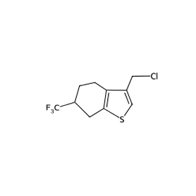 FC(F)(F)C1CCc2c(CCl)csc2C1